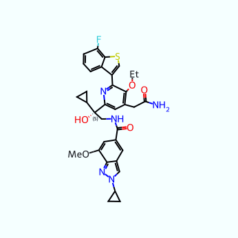 CCOc1c(CC(N)=O)cc([C@@](O)(CNC(=O)c2cc(OC)c3nn(C4CC4)cc3c2)C2CC2)nc1-c1csc2c(F)cccc12